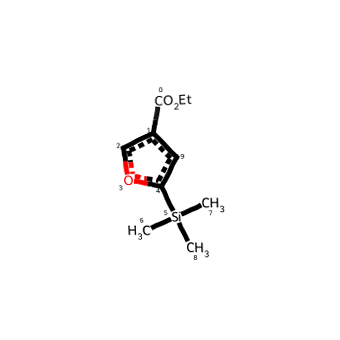 CCOC(=O)c1coc([Si](C)(C)C)c1